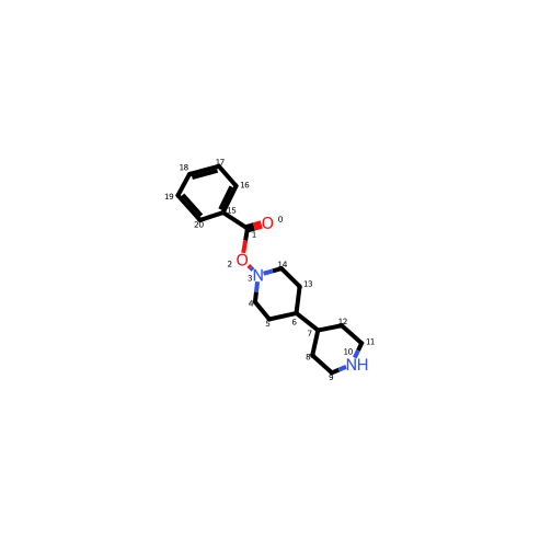 O=C(ON1CCC(C2CCNCC2)CC1)c1ccccc1